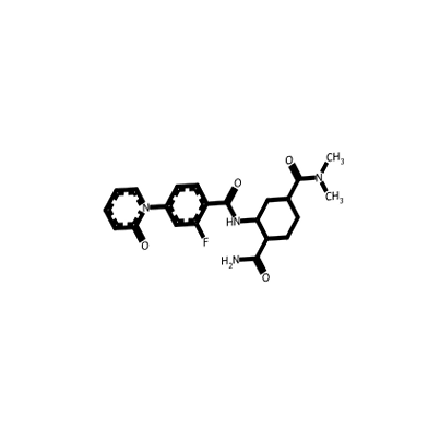 CN(C)C(=O)C1CCC(C(N)=O)C(NC(=O)c2ccc(-n3ccccc3=O)cc2F)C1